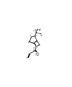 C=CC(=O)N1CC2C1CCN2C(C)S